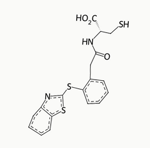 O=C(Cc1ccccc1Sc1nc2ccccc2s1)N[C@@H](CS)C(=O)O